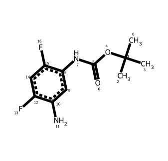 CC(C)(C)OC(=O)Nc1cc(N)c(F)cc1F